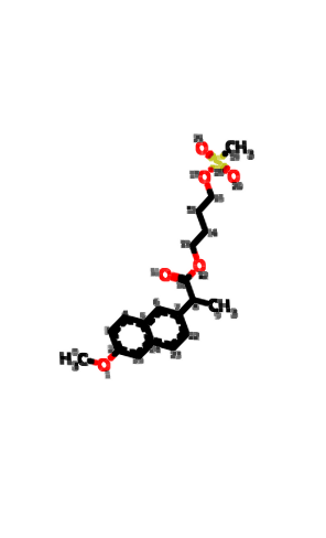 COc1ccc2cc(C(C)C(=O)OCCCCOS(C)(=O)=O)ccc2c1